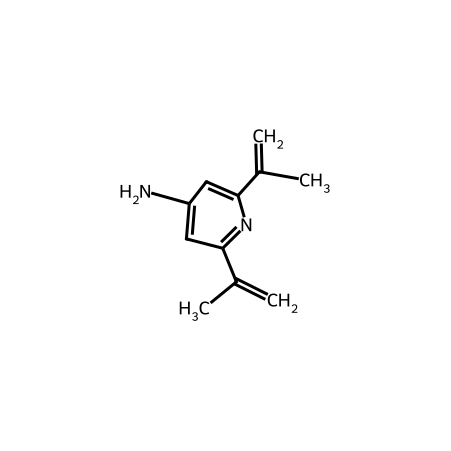 C=C(C)c1cc(N)cc(C(=C)C)n1